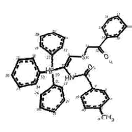 Cc1ccc(C(=O)NC(=CSCC(=O)c2ccccc2)[PH](c2ccccc2)(c2ccccc2)c2ccccc2)cc1